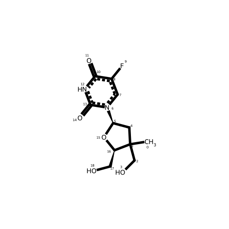 CC1(CO)C[C@H](n2cc(F)c(=O)[nH]c2=O)O[C@@H]1CO